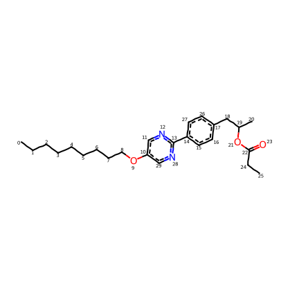 CCCCCCCCCOc1cnc(-c2ccc(CC(C)OC(=O)CC)cc2)nc1